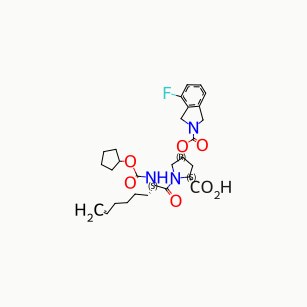 C=CCCCC[C@H](NC(=O)OC1CCCC1)C(=O)N1C[C@H](OC(=O)N2Cc3cccc(F)c3C2)C[C@H]1C(=O)O